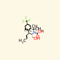 C/C=C/[C@@H](c1ccc(C(F)(F)F)cc1)[C@@H](CO)N(C(=O)O)C(C)(C)C